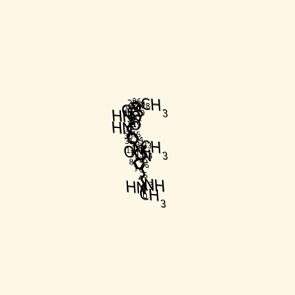 CNC(=N)CCc1ccc2c(=O)n(-c3ccc(NC(=O)NS(=O)(=O)c4ccc(C)s4)cc3)c(C)nc2c1